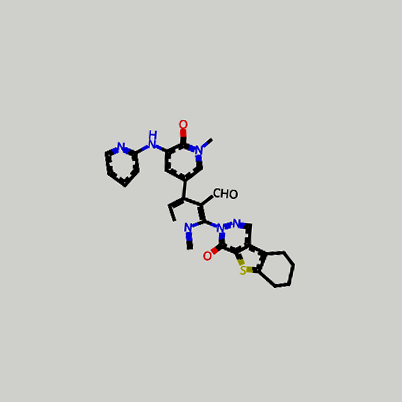 C=N/C(=C(C=O)\C(=C/C)c1cc(Nc2ccccn2)c(=O)n(C)c1)n1ncc2c3c(sc2c1=O)CCCC3